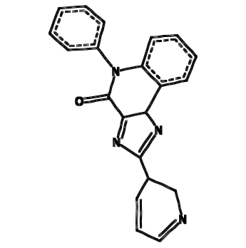 O=C1C2=NC(C3C=CC=NC3)=NC2c2ccccc2N1c1ccccc1